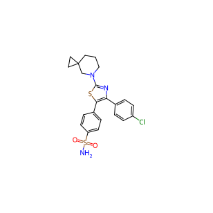 NS(=O)(=O)c1ccc(-c2sc(N3CCCC4(CC4)C3)nc2-c2ccc(Cl)cc2)cc1